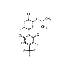 CC(C)Oc1cc(-n2c(=O)[nH]c(C(F)(F)F)c(F)c2=O)c(F)cc1Cl